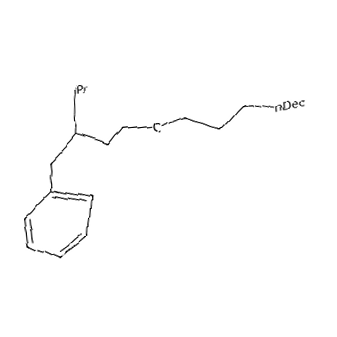 CCCCCCCCCCCCCCCCC(Cc1ccccc1)C(C)C